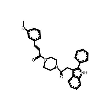 COc1cccc(/C=C/C(=O)N2CCN(C(=O)Cc3c(-c4ccccc4)[nH]c4ccccc34)CC2)c1